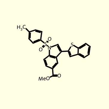 COC(=O)c1ccc2c(c1)c(-c1cc3ccccc3s1)cn2S(=O)(=O)c1ccc(C)cc1